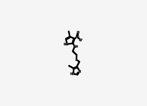 Cc1c[nH]c(NCCSCc2nc[nH]c2C)c1[N+](=O)[O-]